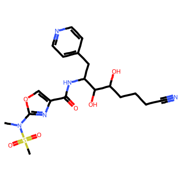 CN(c1nc(C(=O)NC(Cc2ccncc2)C(O)C(O)CCCC#N)co1)S(C)(=O)=O